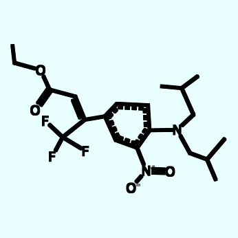 CCOC(=O)C=C(c1ccc(N(CC(C)C)CC(C)C)c([N+](=O)[O-])c1)C(F)(F)F